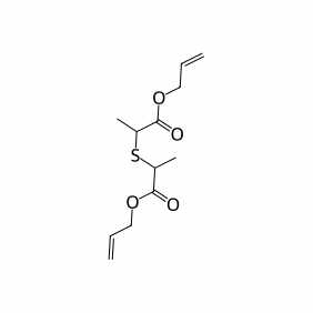 C=CCOC(=O)C(C)SC(C)C(=O)OCC=C